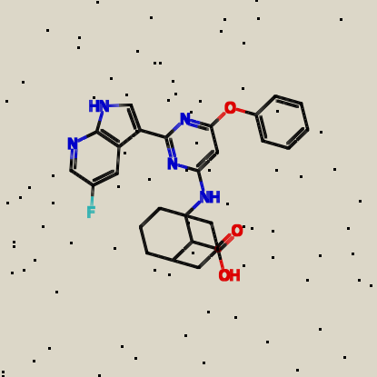 O=C(O)C1C2CCCC1(Nc1cc(Oc3ccccc3)nc(-c3c[nH]c4ncc(F)cc34)n1)CCC2